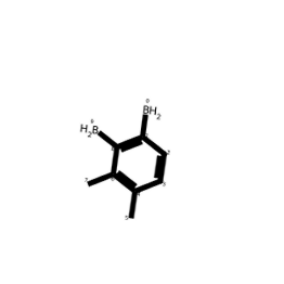 Bc1ccc(C)c(C)c1B